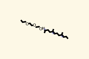 CC/C=C(\C)CC/C=C(\C)CC/C(C)=N/OCCOCCOCCC